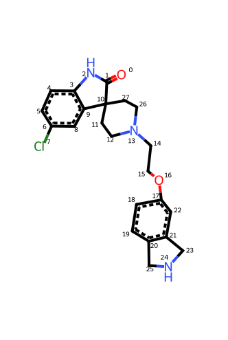 O=C1Nc2ccc(Cl)cc2C12CCN(CCOc1ccc3c(c1)CNC3)CC2